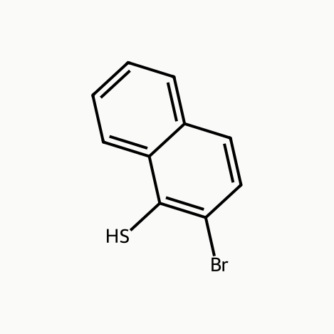 Sc1c(Br)ccc2ccccc12